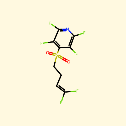 O=S(=O)(CCC=C(F)F)c1c(F)c(F)nc(F)c1F